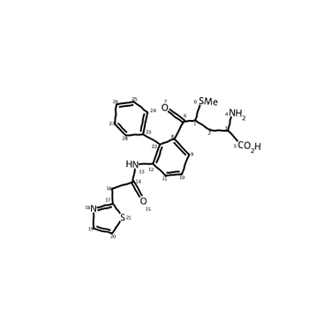 CSC(CC(N)C(=O)O)C(=O)c1cccc(NC(=O)Cc2nccs2)c1-c1ccccc1